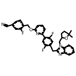 CC1(C)CCC(Cn2c(Cc3cc(F)c(-c4cccc(OCc5ccc(C#N)cc5F)n4)cc3F)nc3ccccc32)O1